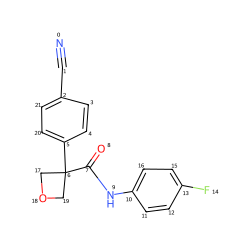 N#Cc1ccc(C2(C(=O)Nc3ccc(F)cc3)COC2)cc1